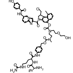 Cc1cccc2c(OC(=O)N(CCOCCO)CCN(C)C(=O)OCc3ccc(NC(=O)C(CCCNC(N)=O)NC(=O)[C@@H](N)C(C)C)cc3)cc3c(c12)C(CCl)CN3C(=O)c1cn2cc(NC(=O)c3ccc(O)cc3)ccc2n1